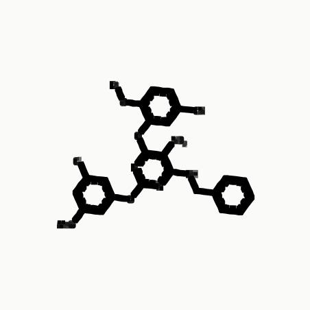 CCOc1ccc(C#N)cc1Oc1nc(Oc2cc(Cl)cc(OC)c2)nc(NCc2ccccc2)c1[N+](=O)[O-]